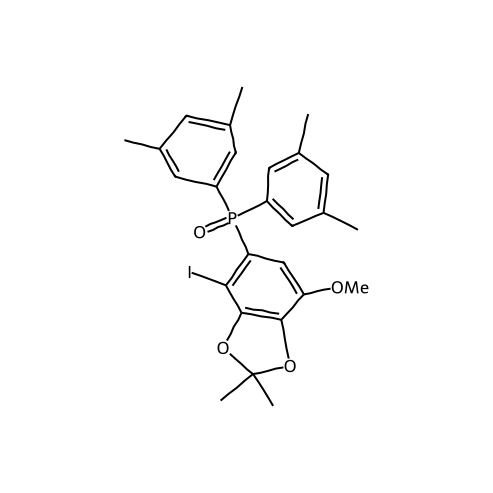 COc1cc(P(=O)(c2cc(C)cc(C)c2)c2cc(C)cc(C)c2)c(I)c2c1OC(C)(C)O2